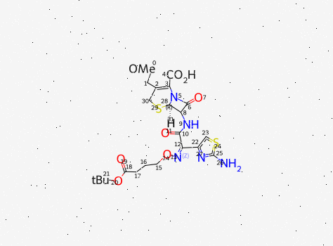 COCC1=C(C(=O)O)N2C(=O)C(NC(=O)/C(=N\OCCCC(=O)OC(C)(C)C)c3csc(N)n3)[C@H]2SC1